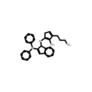 CCCCC1=CC[C]([Zr][CH]2C(P(c3ccccc3)c3ccccc3)=Cc3ccccc32)=C1C